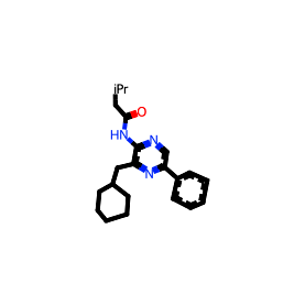 CC(C)CC(=O)Nc1ncc(-c2ccccc2)nc1CC1CCCCC1